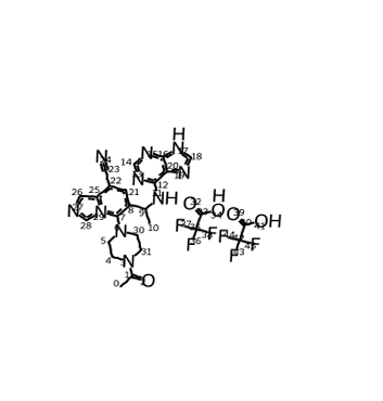 CC(=O)N1CCN(c2c(C(C)Nc3ncnc4[nH]cnc34)cc(C#N)c3cncn23)CC1.O=C(O)C(F)(F)F.O=C(O)C(F)(F)F